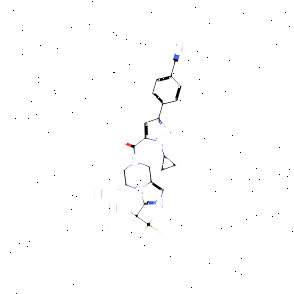 C[C@H]1CN(C(=O)c2cc(-c3ccc(C#N)cc3)nn2C2CC2)Cc2cnc([C@@](C)(O)C(F)(F)F)n21